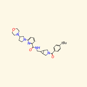 CC(C)(C)c1ccc(C(=O)N2CC3C(CNC(=O)c4[c]ccc(N5CCC(N6CCOCC6)C5)n4)C3C2)cc1